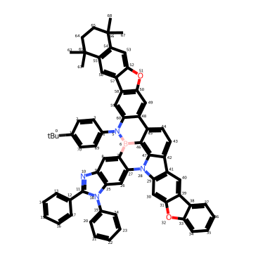 CC(C)(C)c1ccc(N2B3c4cc5nc(-c6ccccc6)n(-c6ccccc6)c5cc4-n4c5cc6oc7ccccc7c6cc5c5ccc(c3c54)-c3cc4oc5cc6c(cc5c4cc32)C(C)(C)CCC6(C)C)cc1